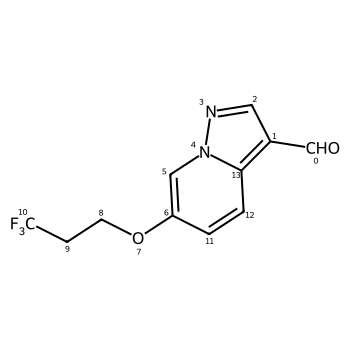 O=Cc1cnn2cc(OCCC(F)(F)F)ccc12